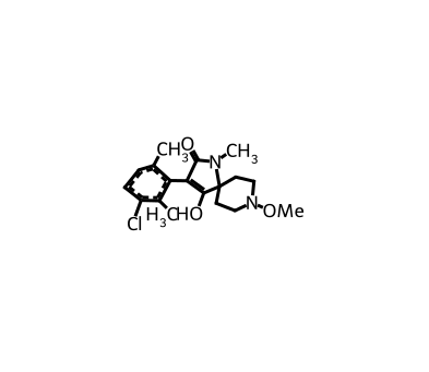 CON1CCC2(CC1)C(O)=C(c1c(C)ccc(Cl)c1C)C(=O)N2C